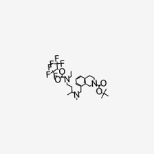 CCN(CCC(C)N(C)Cc1cccc2c1CN(C(=O)OC(C)(C)C)CC2)C(=O)OC(C(F)(F)F)C(F)(F)F